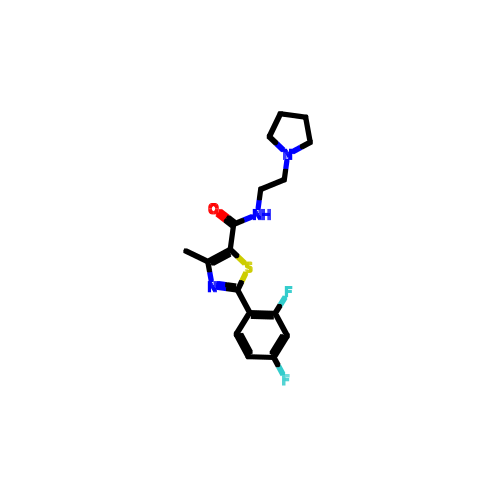 Cc1nc(-c2ccc(F)cc2F)sc1C(=O)NCCN1CCCC1